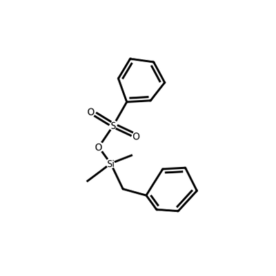 C[Si](C)(Cc1ccccc1)OS(=O)(=O)c1ccccc1